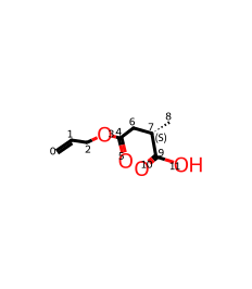 C=CCOC(=O)C[C@H](C)C(=O)O